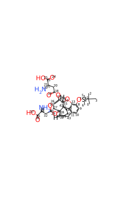 CC(C)(C)[Si](C)(C)Oc1ccc2c3c1O[C@H]1C(OC(=O)C[C@H](N)C(=O)O)=CC[C@@]4(OC(=O)C[C@H](N)C(=O)O)[C@H](CCC[C@]314)C2